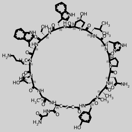 CC(C)C[C@@H]1NC(=O)[C@H](Cc2c[nH]cn2)NC(=O)[C@@H]2CCCN2C(=O)[C@H](CC(N)=O)NC(=O)[C@H](C)N(C)C(=O)[C@H](Cc2ccc(O)cc2)NC(=O)CSC[C@@H](C(=O)NCC(N)=O)NC(=O)[C@H](C)NC(=O)[C@H](CC(=O)O)N(C)C(=O)[C@H](CCCCN)N(C)C(=O)[C@H](Cc2c[nH]c3ccccc23)NC(=O)[C@H](CO)NC(=O)[C@H](Cc2c[nH]c3ccccc23)NC(=O)[C@@H]2C[C@@H](O)CN2C1=O